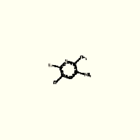 CCc1nc(C)c(N)cc1Cl